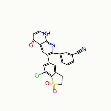 N#Cc1cccc(-c2nc3[nH]ccc(=O)c3cc2-c2cc(Cl)c3c(c2)CCS3(=O)=O)c1